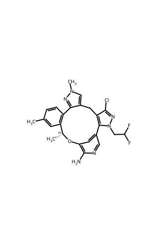 Cc1ccc2c(c1)[C@@H](C)Oc1cc(cnc1N)-c1c(c(Cl)nn1CC(F)F)Cc1cn(C)nc1-2